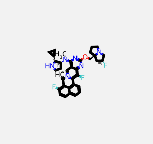 C#Cc1c(F)ccc2cccc(-c3ncc4c(N(C)[C@@H]5CCN[C@@H]5C5CC5)nc(OC[C@@]56CCCN5C[C@H](F)C6)nc4c3F)c12